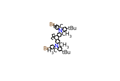 Cc1cc(C(C)(C)C)cc(C)c1N(c1ccc(Br)cc1)c1ccc2c(c1)[C@@]13CCC14CC[C@]43c1cc(N(c3ccc(Br)cc3)c3c(C)cc(C(C)(C)C)cc3C)ccc1-2